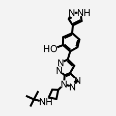 CC(C)(C)NC1CC(n2nnc3cc(-c4ccc(-c5cn[nH]c5)cc4O)nnc32)C1